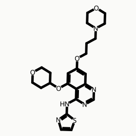 c1csc(Nc2ncnc3cc(OCCCN4CCOCC4)cc(OC4CCOCC4)c23)n1